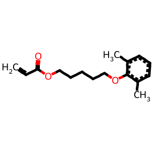 C=CC(=O)OCCCCCOc1c(C)cccc1C